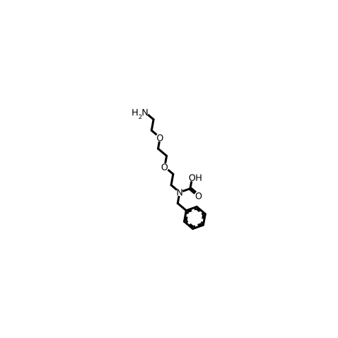 NCCOCCOCCN(Cc1ccccc1)C(=O)O